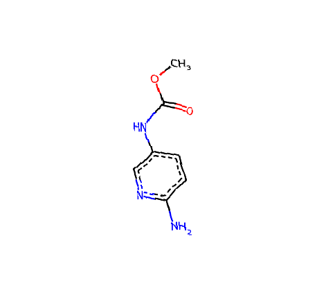 COC(=O)Nc1ccc(N)nc1